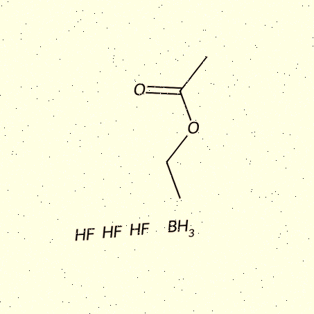 B.CCOC(C)=O.F.F.F